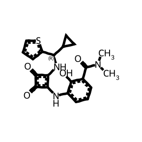 CN(C)C(=O)c1cccc(Nc2c(N[C@@H](c3cccs3)C3CC3)c(=O)c2=O)c1O